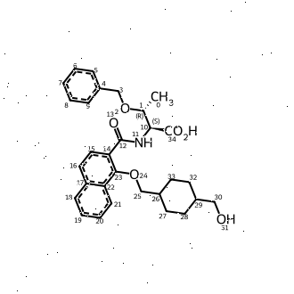 C[C@@H](OCc1ccccc1)[C@H](NC(=O)c1ccc2ccccc2c1OCC1CCC(CO)CC1)C(=O)O